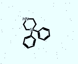 c1ccc([Si]2(c3ccccc3)CCNCC2)cc1